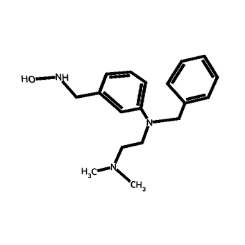 CN(C)CCN(Cc1ccccc1)c1cccc(CNO)c1